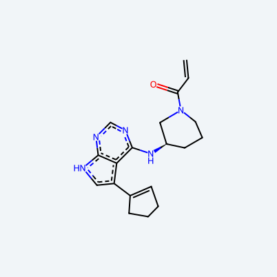 C=CC(=O)N1CCC[C@@H](Nc2ncnc3[nH]cc(C4=CCCC4)c23)C1